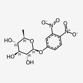 C[C@H]1O[C@@H](Oc2ccc([N+](=O)[O-])c([N+](=O)[O-])c2)[C@H](O)[C@@H](O)[C@@H]1O